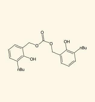 CCCCc1cccc(COC(=O)OCc2cccc(CCCC)c2O)c1O